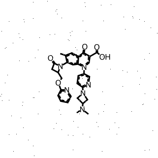 Cc1cc2c(=O)c(C(=O)O)cn(-c3ccc(N4CC(N(C)C)C4)nc3)c2cc1N1C(=O)CC1COc1ccccn1